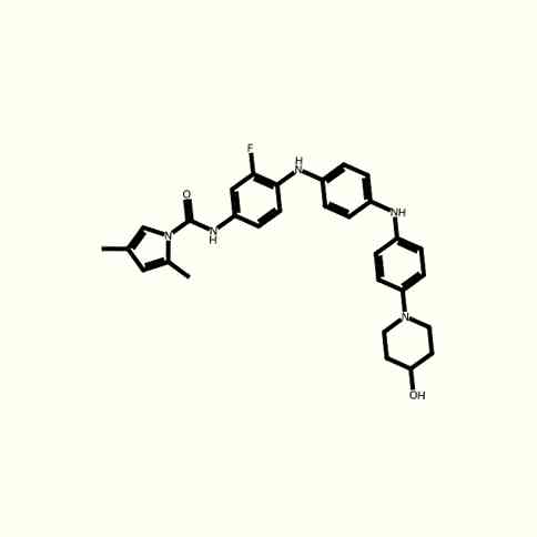 Cc1cc(C)n(C(=O)Nc2ccc(Nc3ccc(Nc4ccc(N5CCC(O)CC5)cc4)cc3)c(F)c2)c1